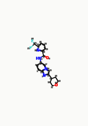 O=C(Nc1ccc2nc(C3CCOCC3)cn2c1)c1cccc(C(F)F)n1